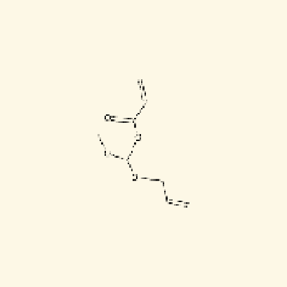 C=CCOC(OC)OC(=O)C=C